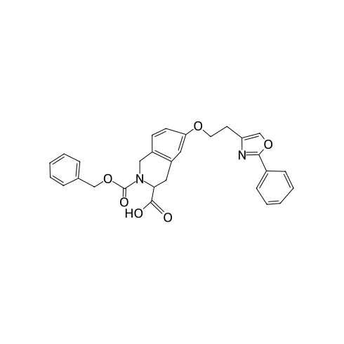 O=C(O)C1Cc2cc(OCCc3coc(-c4ccccc4)n3)ccc2CN1C(=O)OCc1ccccc1